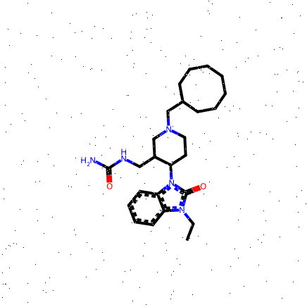 CCn1c(=O)n(C2CCN(CC3CCCCCCC3)CC2CNC(N)=O)c2ccccc21